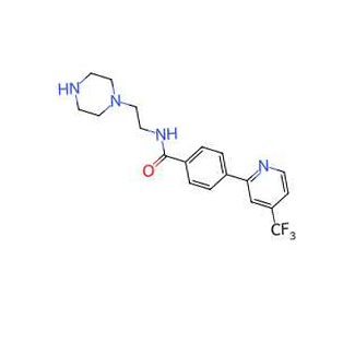 O=C(NCCN1CCNCC1)c1ccc(-c2cc(C(F)(F)F)ccn2)cc1